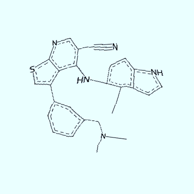 Cc1c(Nc2c(C#N)cnc3scc(-c4cccc(CN(C)C)c4)c23)ccc2[nH]ccc12